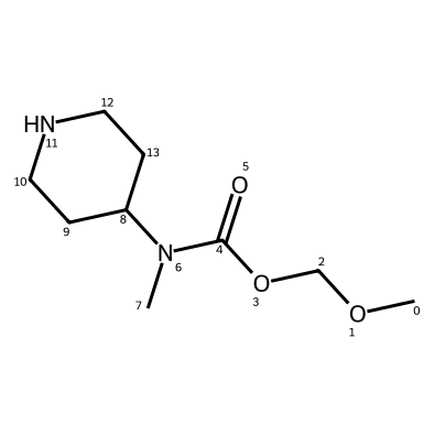 COCOC(=O)N(C)C1CCNCC1